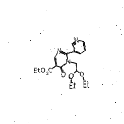 CCOC(=O)c1cnc(-c2cccnc2)n(CC(OCC)OCC)c1=O